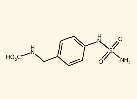 NS(=O)(=O)Nc1ccc(CNC(=O)O)cc1